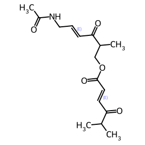 CC(=O)NC/C=C/C(=O)C(C)COC(=O)/C=C/C(=O)C(C)C